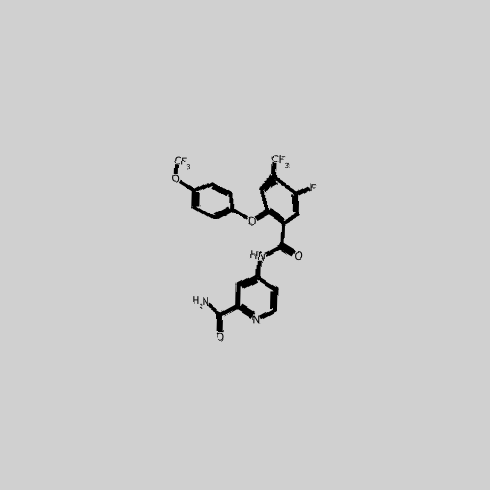 NC(=O)c1cc(NC(=O)c2cc(F)c(C(F)(F)F)cc2Oc2ccc(OC(F)(F)F)cc2)ccn1